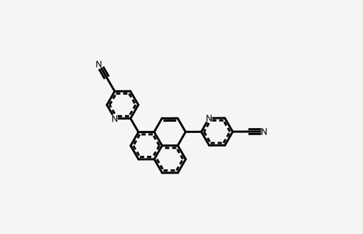 N#Cc1ccc(-c2ccc3cccc4c3c2C=CC4c2ccc(C#N)cn2)nc1